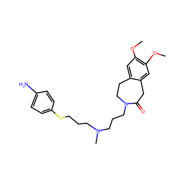 COc1cc2c(cc1OC)CC(=O)N(CCCN(C)CCCSc1ccc(N)cc1)CC2